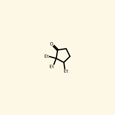 CCC1CCC(=O)C1(CC)CC